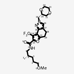 COCCC[C@H](C)CNC(=O)c1oc2c(c1C(F)(F)F)-c1nn(C[C@H]3COCCO3)cc1CC2